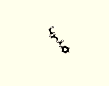 O=C(OCC1COC(CO)O1)Oc1ccccc1